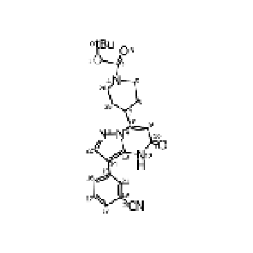 CC(C)(C)OC(=O)N1CCC(c2cc(=O)[nH]c3c(-c4cccc(C#N)c4)cnn23)CC1